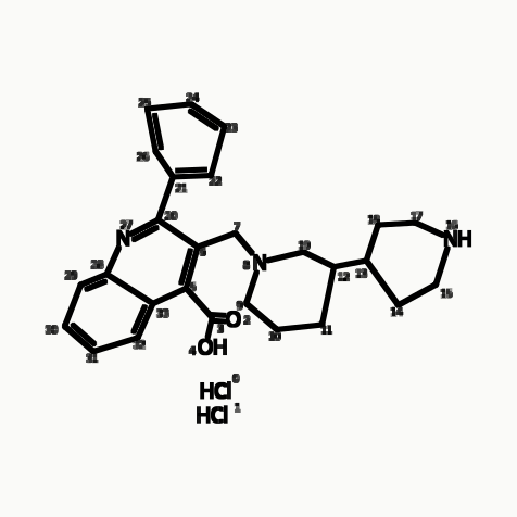 Cl.Cl.O=C(O)c1c(CN2CCCC(C3CCNCC3)C2)c(-c2ccccc2)nc2ccccc12